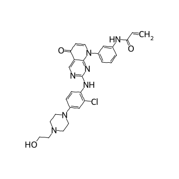 C=CC(=O)Nc1cccc(-n2ccc(=O)c3cnc(Nc4ccc(N5CCN(CCO)CC5)cc4Cl)nc32)c1